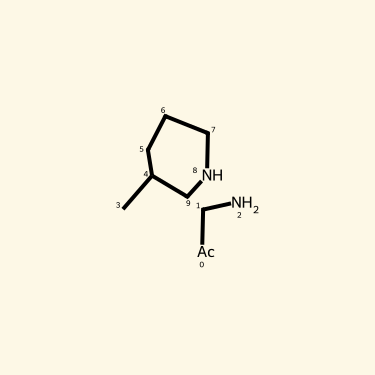 CC(=O)CN.CC1CCCNC1